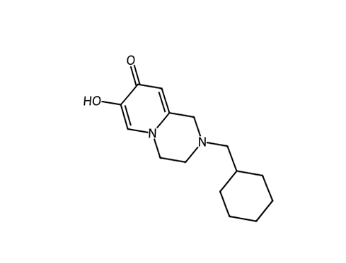 O=c1cc2n(cc1O)CCN(CC1CCCCC1)C2